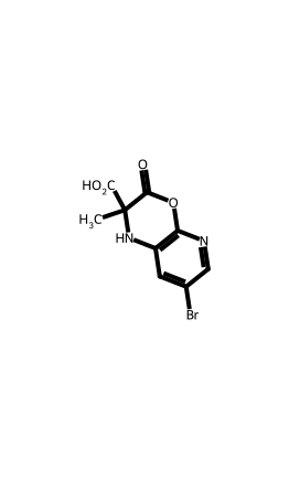 CC1(C(=O)O)Nc2cc(Br)cnc2OC1=O